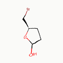 OC1CC[C@H](CBr)O1